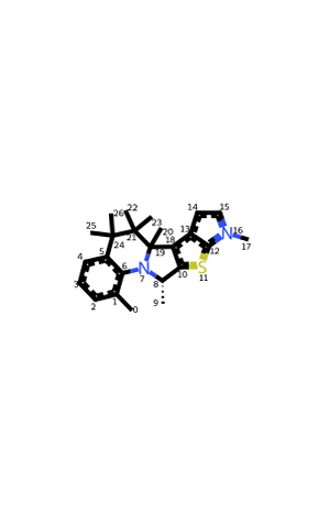 Cc1cccc2c1N1[C@@H](C)c3sc4c(ccn4C)c3C1(C)C(C)(C)C2(C)C